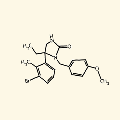 CCC1(c2cccc(Br)c2C)CNC(=O)N1Cc1ccc(OC)cc1